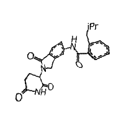 CC(C)Cc1ccccc1C(=O)Nc1ccc2c(c1)CN(C1CCC(=O)NC1=O)C2=O